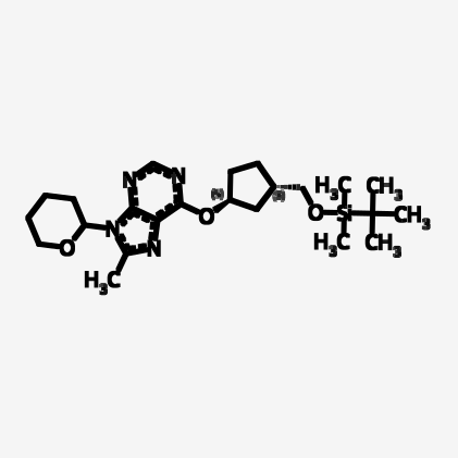 Cc1nc2c(O[C@H]3CC[C@H](CO[Si](C)(C)C(C)(C)C)C3)ncnc2n1C1CCCCO1